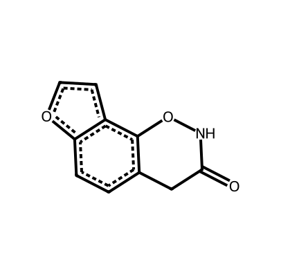 O=C1Cc2ccc3occc3c2ON1